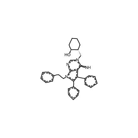 N=c1c2c(-c3ccccc3)c(-c3ccccc3)n(CCc3ccccc3)c2ncn1C[C@H]1CCCC[C@@H]1O